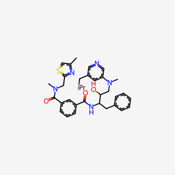 Cc1csc(CN(C)C(=O)c2cccc(C(=O)NC(Cc3ccccc3)C(O)CN(C)c3cncc(CC(C)C)c3)c2)n1